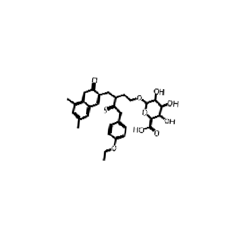 CCOc1ccc(CC(=S)C(CCOC2OC(C(=O)O)C(O)C(O)C2O)CC2=Cc3cc(C)cc(C)c3CC2=O)cc1